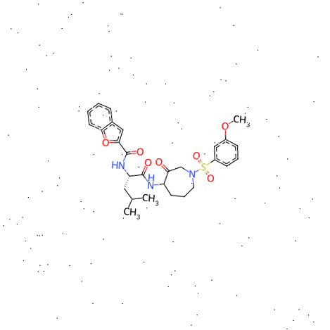 COc1cccc(S(=O)(=O)N2CCCC(NC(=O)[C@H](CC(C)C)NC(=O)c3cc4ccccc4o3)C(=O)C2)c1